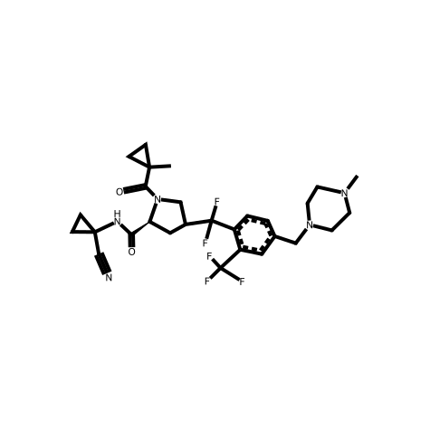 CN1CCN(Cc2ccc(C(F)(F)C3C[C@@H](C(=O)NC4(C#N)CC4)N(C(=O)C4(C)CC4)C3)c(C(F)(F)F)c2)CC1